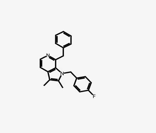 Cc1c(C)n(Cc2ccc(F)cc2)c2c(Cc3ccccc3)nccc12